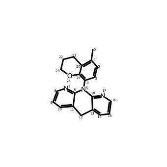 Cc1ccc(N2c3ncccc3Cc3cccnc32)c2c1CCCO2